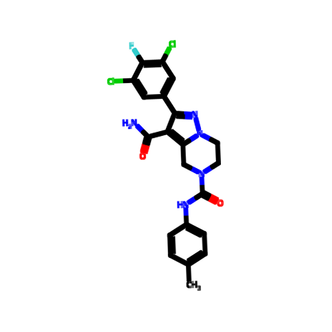 Cc1ccc(NC(=O)N2CCn3nc(-c4cc(Cl)c(F)c(Cl)c4)c(C(N)=O)c3C2)cc1